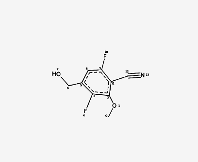 COc1c(F)c(CO)cc(F)c1C#N